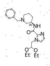 CCOC(Cn1ccnc1C(=O)N[C@@H]1CCCN(Cc2ccccc2)C1)OCC